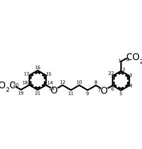 O=C(O)Cc1cccc(OCCCCCOc2cccc(CC(=O)O)c2)c1